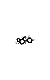 C[C@]12CC[C@H]3[C@@H](CC[C@]45OC4C(O)=CC[C@]35C)[C@@H]1CC[C@@H]2O